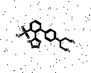 NCC(CN)c1ccc(-c2cccc(S(N)(=O)=O)c2-c2nnn[nH]2)cc1